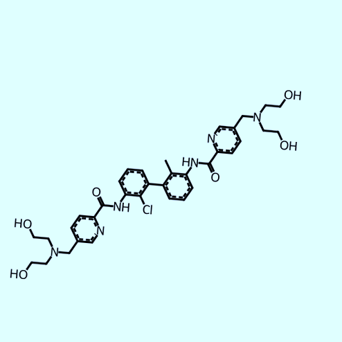 Cc1c(NC(=O)c2ccc(CN(CCO)CCO)cn2)cccc1-c1cccc(NC(=O)c2ccc(CN(CCO)CCO)cn2)c1Cl